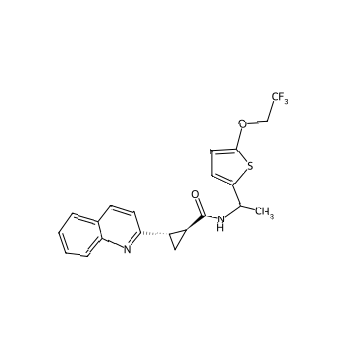 CC(NC(=O)[C@H]1C[C@@H]1c1ccc2ccccc2n1)c1ccc(OCC(F)(F)F)s1